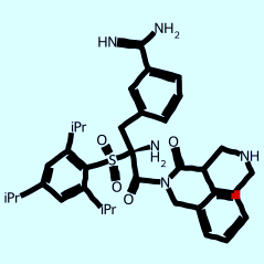 CC(C)c1cc(C(C)C)c(S(=O)(=O)[C@](N)(Cc2cccc(C(=N)N)c2)C(=O)N(Cc2ccccc2)C(=O)C2CCCNC2)c(C(C)C)c1